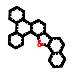 c1ccc2c(c1)ccc1c3ccc4c5ccccc5c5ccccc5c4c3oc21